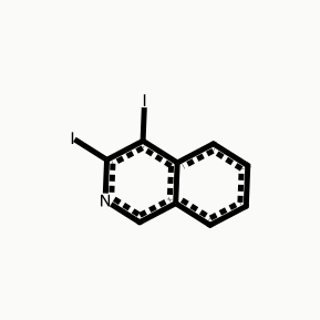 Ic1ncc2ccccc2c1I